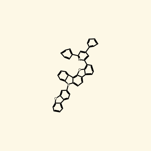 c1ccc(-c2cc(-c3ccccc3)nc(-c3cccc4c3oc3c4ccc4c3c3ccccc3n4-c3ccc4c(c3)oc3ccccc34)c2)cc1